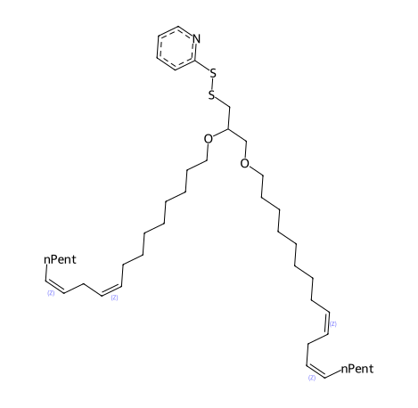 CCCCC/C=C\C/C=C\CCCCCCCCOCC(CSSc1ccccn1)OCCCCCCCC/C=C\C/C=C\CCCCC